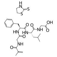 C=C(C)C(=O)NCC(=O)N[C@@H](Cc1ccccc1)C(=O)N[C@@H](CC(C)C)C(=O)NCC(=O)O.S=C1NCCS1